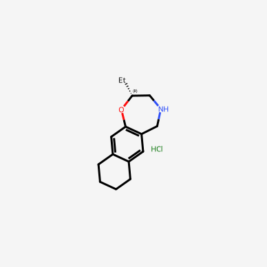 CC[C@@H]1CNCc2cc3c(cc2O1)CCCC3.Cl